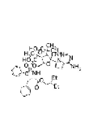 CCC(CC)COC(=O)[C@H](Cc1ccccc1)NP(=O)(OC[C@@H]1O[C@@](C#N)(c2ccc3c(N)ncnn23)[C@@H](C(C)(C)C(=O)O)[C@@H]1C(C)(C)C(=O)O)Oc1ccccc1